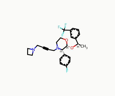 C[C@@H](O[C@H]1OCCN(CC#CCN2CCC2)[C@H]1c1ccc(F)cc1)c1cccc(C(F)(F)F)c1